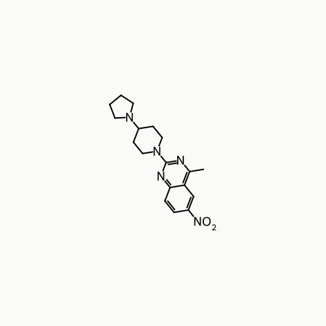 Cc1nc(N2CCC(N3CCCC3)CC2)nc2ccc([N+](=O)[O-])cc12